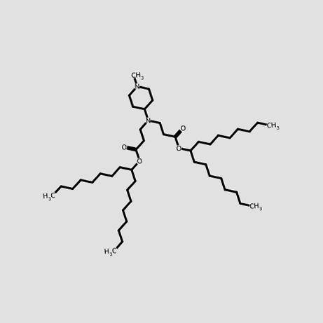 CCCCCCCCC(CCCCCCCC)OC(=O)CCN(CCC(=O)OC(CCCCCCCC)CCCCCCCC)C1CCN(C)CC1